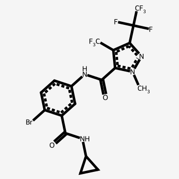 Cn1nc(C(F)(F)C(F)(F)F)c(C(F)(F)F)c1C(=O)Nc1ccc(Br)c(C(=O)NC2CC2)c1